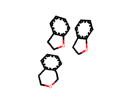 c1ccc2c(c1)CCO2.c1ccc2c(c1)CCO2.c1ccc2c(c1)CCOC2